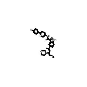 C=N/C=C(\C=C(/C)c1ccc2[nH]nc(C(=O)Nc3ccc(-c4ccc(F)cc4)nc3)c2c1)N1CCOCC1